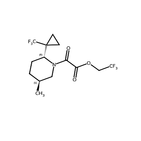 C[C@H]1CC[C@H](C2(C(F)(F)F)CC2)N(C(=O)C(=O)OCC(F)(F)F)C1